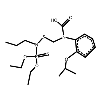 CCCN(SCN(C(=O)O)c1ccccc1OC(C)C)P(=S)(OCC)OCC